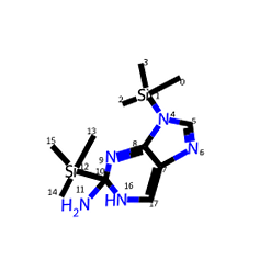 C[Si](C)(C)n1cnc2c1=NC(N)([Si](C)(C)C)NC=2